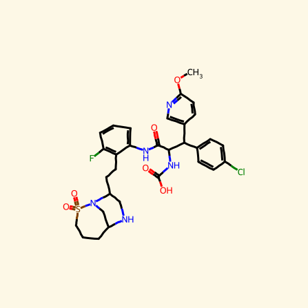 COc1ccc(C(c2ccc(Cl)cc2)C(NC(=O)O)C(=O)Nc2cccc(F)c2CCC2CNC3CCCS(=O)(=O)N2C3)cn1